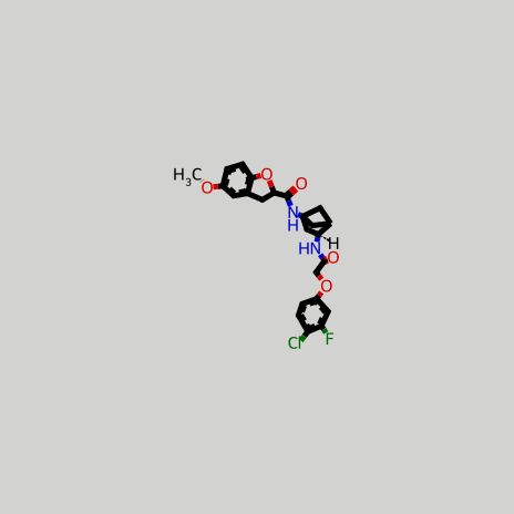 COc1ccc2c(c1)CC(C(=O)NC13CC(C1)[C@@H](NC(=O)COc1ccc(Cl)c(F)c1)C3)O2